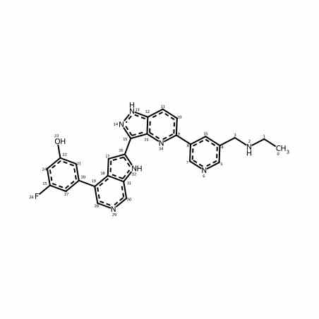 CCNCc1cncc(-c2ccc3[nH]nc(-c4cc5c(-c6cc(O)cc(F)c6)cncc5[nH]4)c3n2)c1